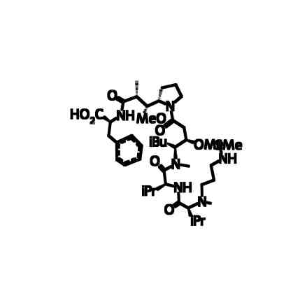 CC[C@H](C)[C@@H]([C@@H](CC(=O)N1CCC[C@H]1[C@H](OC)[C@@H](C)C(=O)N[C@@H](Cc1ccccc1)C(=O)O)OC)N(C)C(=O)[C@@H](NC(=O)[C@H](C(C)C)N(C)CCCNSC)C(C)C